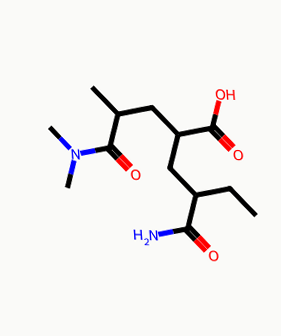 CCC(CC(CC(C)C(=O)N(C)C)C(=O)O)C(N)=O